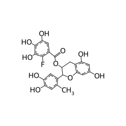 Cc1cc(O)c(O)cc1C1Oc2cc(O)cc(O)c2CC1OC(=O)c1cc(O)c(O)c(O)c1F